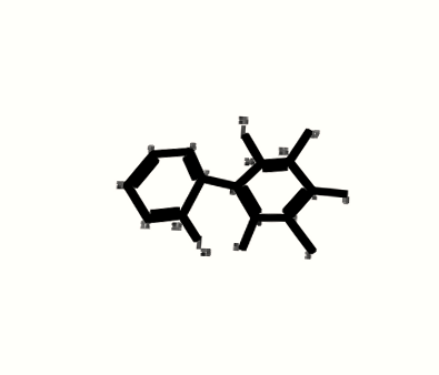 Cc1c(C)c(C)c(-c2ccccc2I)c(I)c1C